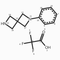 O=C(O)C(F)(F)F.c1ccc(N2CC3(CNC3)C2)cc1